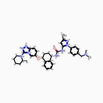 CCN(C)Cc1ccc(-n2nc(C(C)(C)C)cc2NC(=O)N[C@H]2CC[C@@H](Oc3ccc4nnc(N5CCCC[C@@H]5C)n4c3)c3ccccc32)cc1